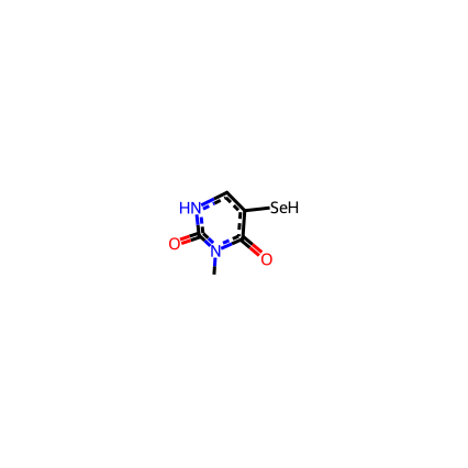 Cn1c(=O)[nH]cc([SeH])c1=O